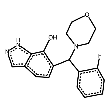 Oc1c(C(c2ccccc2F)N2CCOCC2)ccc2cn[nH]c12